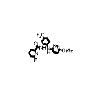 COc1ccc(Nc2ccc(C(F)(F)F)cc2NC(=O)c2cccc(F)n2)nn1